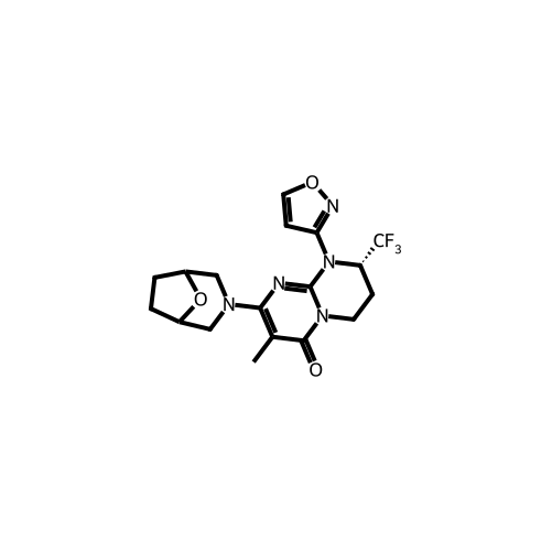 Cc1c(N2CC3CCC(C2)O3)nc2n(c1=O)CC[C@@H](C(F)(F)F)N2c1ccon1